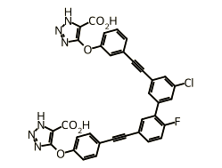 O=C(O)c1[nH]nnc1Oc1ccc(C#Cc2ccc(F)c(-c3cc(Cl)cc(C#Cc4cccc(Oc5nn[nH]c5C(=O)O)c4)c3)c2)cc1